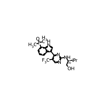 CC(C)[C@@H](CO)Nc1ncc(C(F)(F)F)c(-c2c[nH]c3c(P(C)(C)=O)cccc23)n1